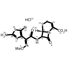 CON=C(C(=O)NC1C(=O)N2C(C(=O)O)=CCS[C@@H]12)c1nc(N)sc1Br.Cl